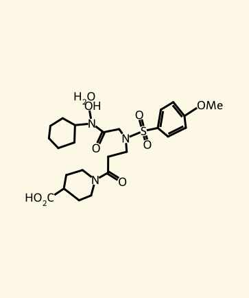 COc1ccc(S(=O)(=O)N(CCC(=O)N2CCC(C(=O)O)CC2)CC(=O)N(O)C2CCCCC2)cc1.O